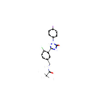 CC(C)(C)C(=O)NCc1ccc(Cl)c(-c2nn(-c3ccc(I)cc3)c(=O)[nH]2)c1